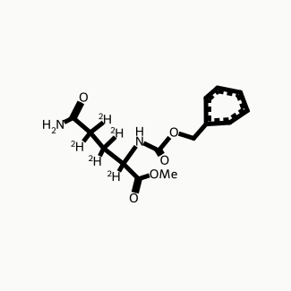 [2H]C([2H])(C(N)=O)C([2H])([2H])C([2H])(NC(=O)OCc1ccccc1)C(=O)OC